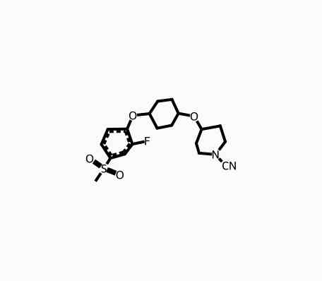 CS(=O)(=O)c1ccc(OC2CCC(OC3CCN(C#N)CC3)CC2)c(F)c1